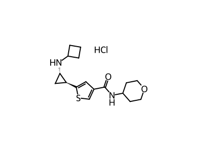 Cl.O=C(NC1CCOCC1)c1csc([C@H]2C[C@@H]2NC2CCC2)c1